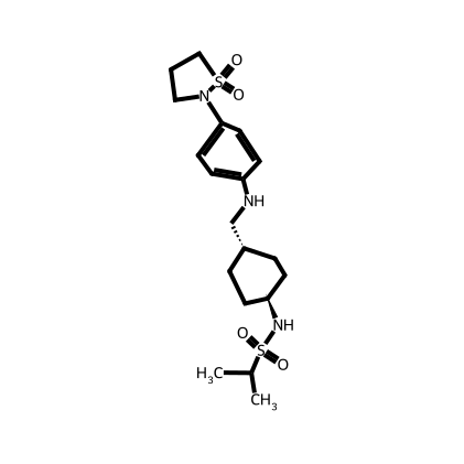 CC(C)S(=O)(=O)N[C@H]1CC[C@H](CNc2ccc(N3CCCS3(=O)=O)cc2)CC1